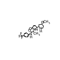 COC1CCNC(c2ccc(=O)n(C(C)C(=O)Nc3ccc(C(F)(F)F)cc3)n2)C1